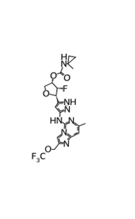 Cc1cc2nc(COC(F)(F)F)cn2c(Nc2cc([C@H]3OC[C@@H](OC(=O)NC4(C)CC4)[C@H]3F)[nH]n2)n1